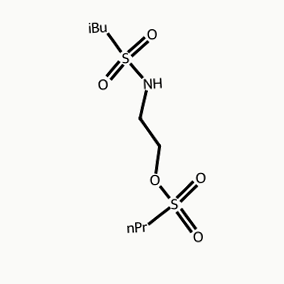 CCCS(=O)(=O)OCCNS(=O)(=O)C(C)CC